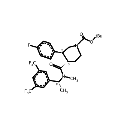 C[C@H](c1cc(C(F)(F)F)cc(C(F)(F)F)c1)N(C)C(=O)[C@H]1CCN(C(=O)OC(C)(C)C)C[C@@H]1c1ccc(F)cc1